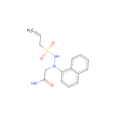 C=CCS(=O)(=O)NN(CC([NH])=O)c1cccc2ccccc12